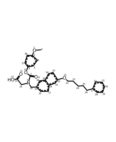 COc1ccc(OC(=O)N(CC(=O)O)Cc2ccc3cc(OCCCCCc4ccccc4)ccc3c2)cc1